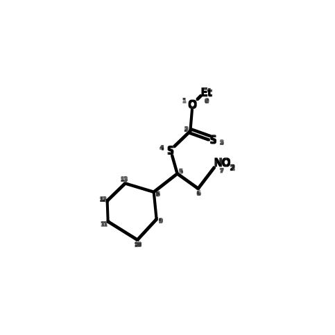 CCOC(=S)SC(C[N+](=O)[O-])C1CCCCC1